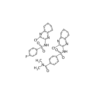 CN(C)C(=O)c1ccc(S(=O)(=O)Nc2nc3ccccc3nc2Cl)cc1.O=S(=O)(Nc1nc2ccccc2nc1Cl)c1ccc(F)cc1